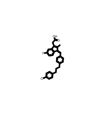 CC1=C(CC(=O)O)c2cc(F)ccc2/C1=C\c1ccc(CCCc2ccc(Cl)cc2)cc1